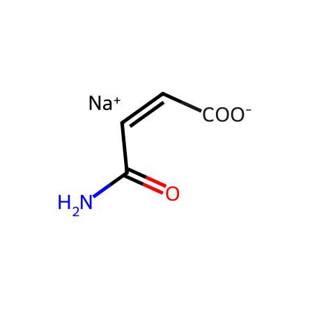 NC(=O)/C=C\C(=O)[O-].[Na+]